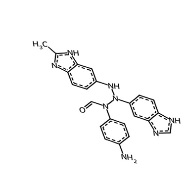 Cc1nc2ccc(NN(c3ccc4[nH]cnc4c3)N(C=O)c3ccc(N)cc3)cc2[nH]1